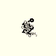 CCc1nccc(CC(NC(=O)C(CC(C)C)NC(=O)C(NC(=O)OCc2ccccc2)C(C)C)C(=O)C(N)=O)n1